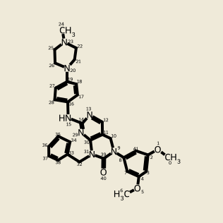 COc1cc(OC)cc(N2Cc3cnc(Nc4ccc(N5CCN(C)CC5)cc4)nc3N(Cc3ccccc3)C2=O)c1